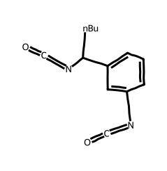 CCCCC(N=C=O)c1cccc(N=C=O)c1